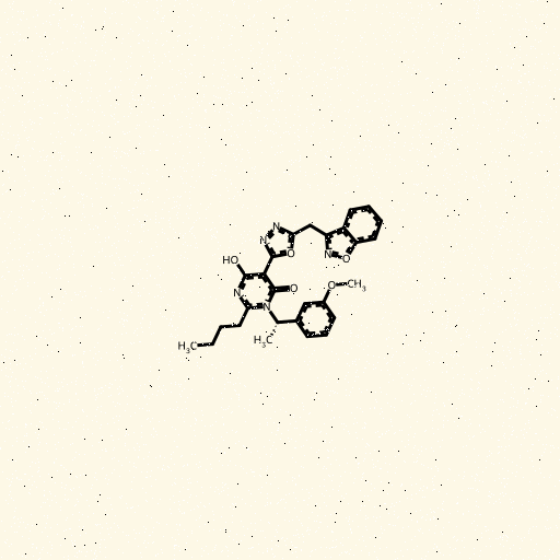 CCCCc1nc(O)c(-c2nnc(Cc3noc4ccccc34)o2)c(=O)n1[C@@H](C)c1cccc(OC)c1